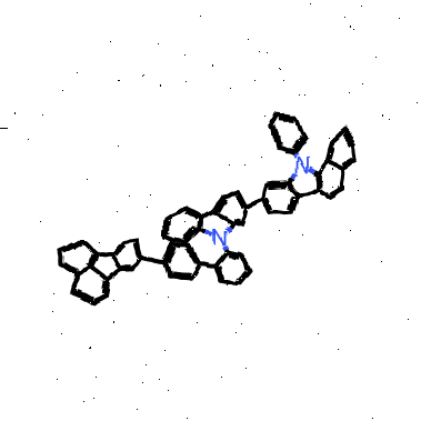 c1ccc(-n2c3cc(-c4ccc5c6ccccc6n(-c6ccccc6-c6ccc(-c7ccc8c(c7)-c7cccc9cccc-8c79)cc6)c5c4)ccc3c3ccc4ccccc4c32)cc1